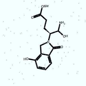 COC(=O)CC[C@@H](C(N)O)N1Cc2c(O)cccc2C1=O